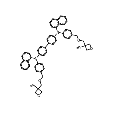 CCCC1(COCc2ccc(N(c3ccc(-c4ccc(N(c5ccc(COCC6(CCC)COC6)cc5)c5cccc6ccccc56)cc4)cc3)c3cccc4ccccc34)cc2)COC1